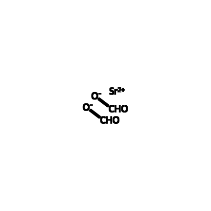 O=C[O-].O=C[O-].[Sr+2]